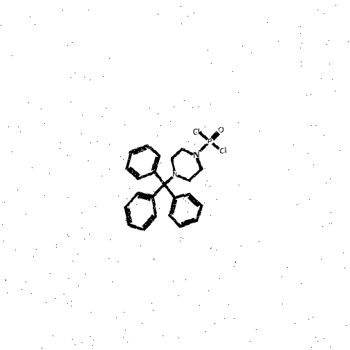 O=P(Cl)(Cl)N1CCN(C(c2ccccc2)(c2ccccc2)c2ccccc2)CC1